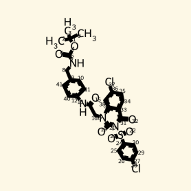 CC(C)(C)OC(=O)NCc1ccc(NC(=O)Cn2c(=O)n(S(=O)(=O)c3ccc(Cl)cc3)c(=O)c3ccc(Cl)cc32)cc1